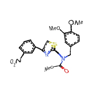 COC(=O)N(Cc1ccc(OC)c(OC)c1)c1nc(-c2cccc([N+](=O)[O-])c2)cs1